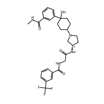 CNC(=O)c1cccc(C2(O)CCC(N3CC[C@@H](NC(=O)CNC(=O)c4cccc(C(F)(F)F)c4)C3)CC2)c1